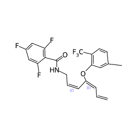 C=C/C=C(\C=C/CNC(=O)c1c(F)cc(F)cc1F)Oc1cc(C)ccc1C(F)(F)F